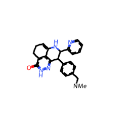 CNCc1ccc(C2c3n[nH]c(=O)c4c3C(=CCC4)NC2c2ccccn2)cc1